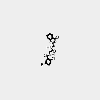 O=C(CNC(=O)c1cc(Br)ccc1Cl)NCB1OC(=O)c2ccccc2O1